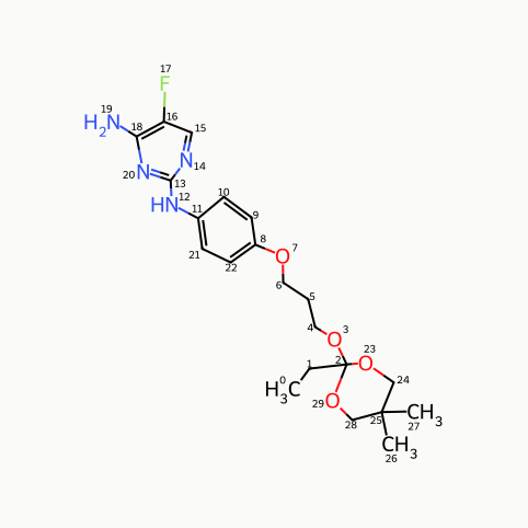 CCC1(OCCCOc2ccc(Nc3ncc(F)c(N)n3)cc2)OCC(C)(C)CO1